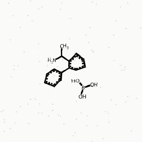 CC(N)c1ccccc1-c1ccccc1.OB(O)O